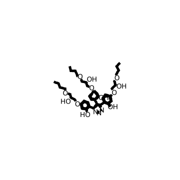 CCCCOCC(O)COc1ccc(-c2nnnc(-c3ccc(OCC(O)COCCCC)cc3O)c2-c2ccc(OCC(O)COCCCC)cc2O)c(O)c1